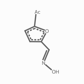 CC(=O)c1ccc(C=NO)o1